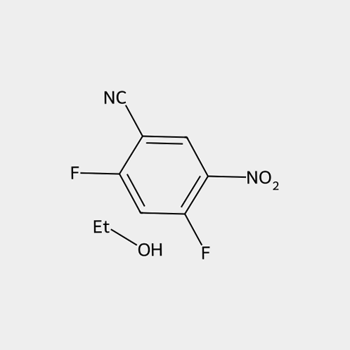 CCO.N#Cc1cc([N+](=O)[O-])c(F)cc1F